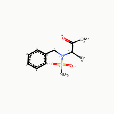 CNS(=O)(=O)N(Cc1ccccc1)C(C(=O)OC)C(C)C